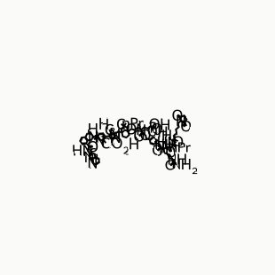 CCCC1(C)CC2(Cn3ncc(-c4ccc(N5CCc6cccc(C(=O)Nc7nc8ncccc8s7)c6C5)nc4C(=O)O)c3C)CCCC(OCCN(CCCP(=O)(O)O)C(=O)OCc3ccc(NC(=O)[C@H](CCCNC(N)=O)NC(=O)[C@@H](NC(=O)CCCCCN4C(=O)C=CC4=O)C(C)C)cc3)(C1)C2